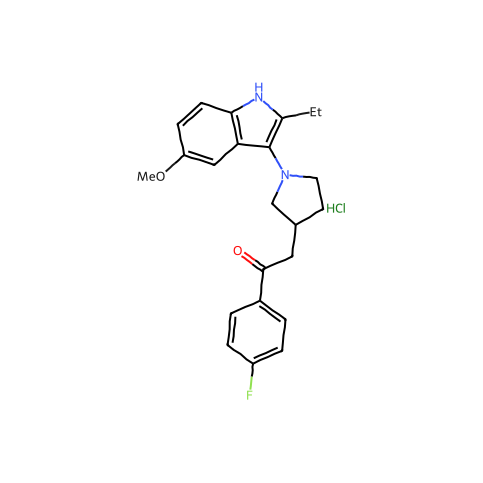 CCc1[nH]c2ccc(OC)cc2c1N1CCC(CC(=O)c2ccc(F)cc2)C1.Cl